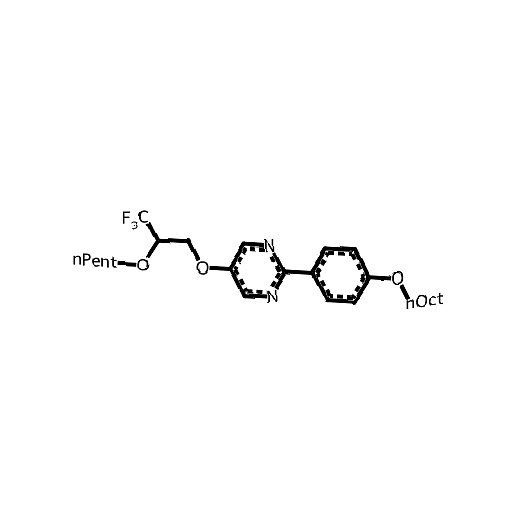 CCCCCCCCOc1ccc(-c2ncc(OCC(OCCCCC)C(F)(F)F)cn2)cc1